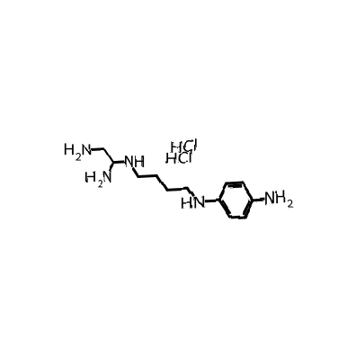 Cl.Cl.NCC(N)NCCCCNc1ccc(N)cc1